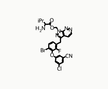 CC(C)C(N)C(=O)OCn1nc(Cc2ccc(Br)c(Oc3cc(Cl)cc(C#N)c3)c2F)c2ccnnc21